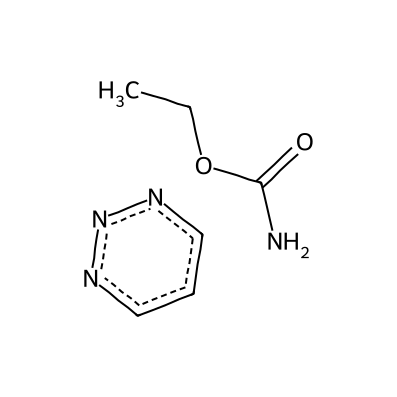 CCOC(N)=O.c1cnnnc1